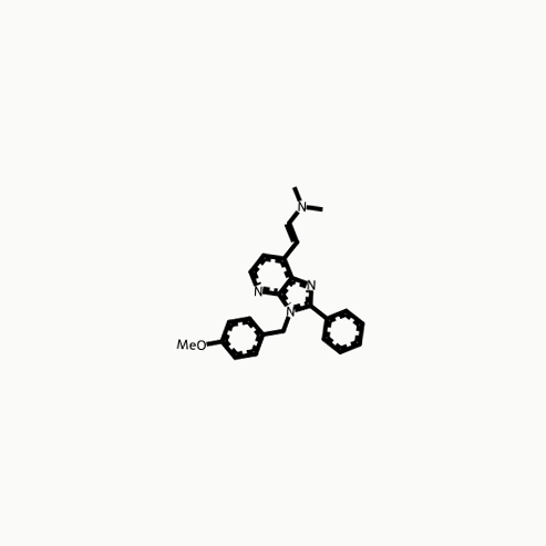 COc1ccc(Cn2c(-c3ccccc3)nc3c(C=CN(C)C)ccnc32)cc1